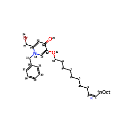 CCCCCCCC/C=C\CCCCCCCCOc1cn(Cc2ccccc2)c(CBr)cc1=O